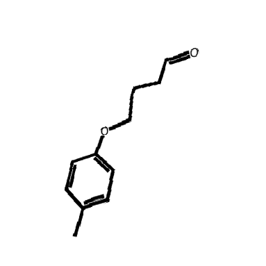 Cc1ccc(OCCCC=O)cc1